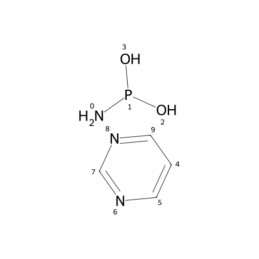 NP(O)O.c1cncnc1